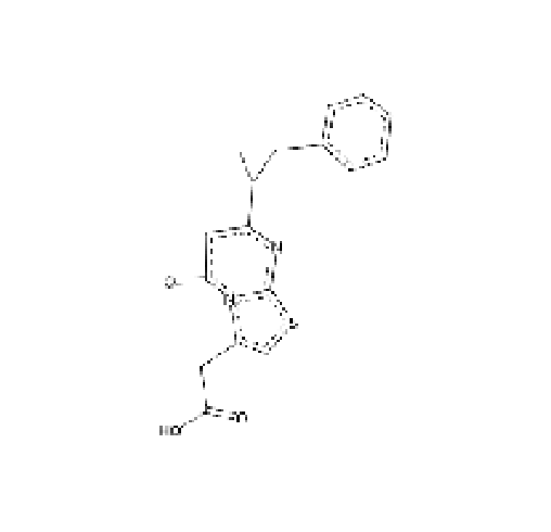 O=C(O)Cc1csc2nc(C3CC3c3ccccc3)cc(=O)n12